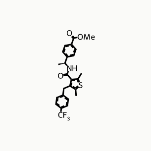 COC(=O)c1ccc([C@H](C)NC(=O)c2c(C)sc(C)c2Cc2ccc(C(F)(F)F)cc2)cc1